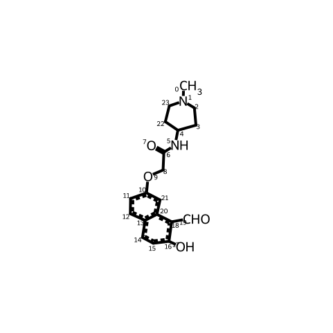 CN1CCC(NC(=O)COc2ccc3ccc(O)c(C=O)c3c2)CC1